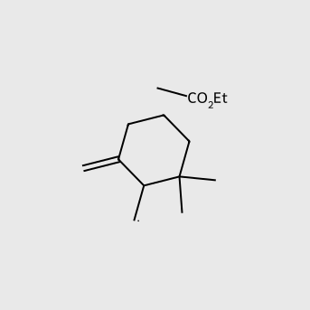 CCOC(C)=O.[CH2]C1C(=C)CCCC1(C)C